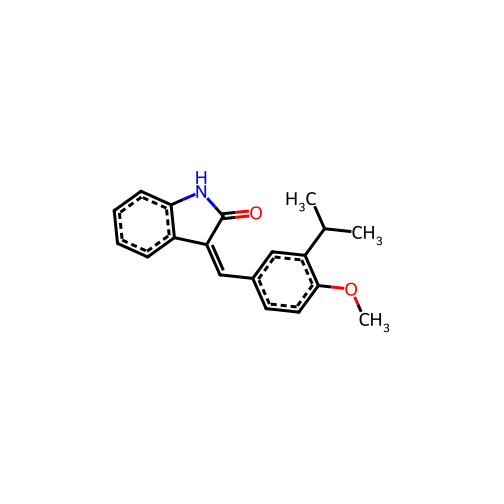 COc1ccc(C=C2C(=O)Nc3ccccc32)cc1C(C)C